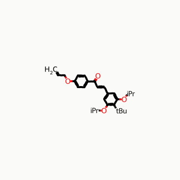 C=CCOc1ccc(C(=O)/C=C/c2cc(OC(C)C)c(C(C)(C)C)c(OC(C)C)c2)cc1